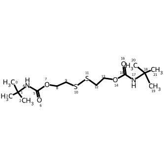 CC(C)(C)NC(=O)OCCSSCCOC(=O)NC(C)(C)C